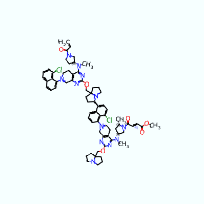 C=CC(=O)N1CC[C@@H](N(C)c2nc(OCC34CCCN3C(c3ccc(Cl)c5c(N6CCc7c(nc(OCC89CCCN8CCC9)nc7N(C)[C@@H]7C[C@H](C)N(C(=O)/C=C/C(=O)OC)C7)C6)cccc35)CC4)nc3c2CCN(c2cccc4cccc(Cl)c24)C3)C1